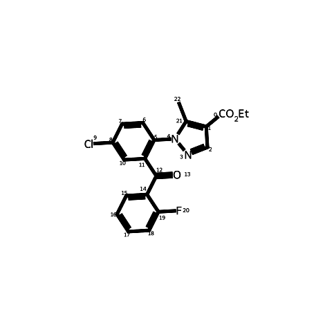 CCOC(=O)c1cnn(-c2ccc(Cl)cc2C(=O)c2ccccc2F)c1C